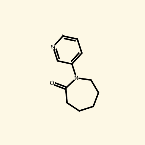 O=C1CCCCCN1c1cc[c]nc1